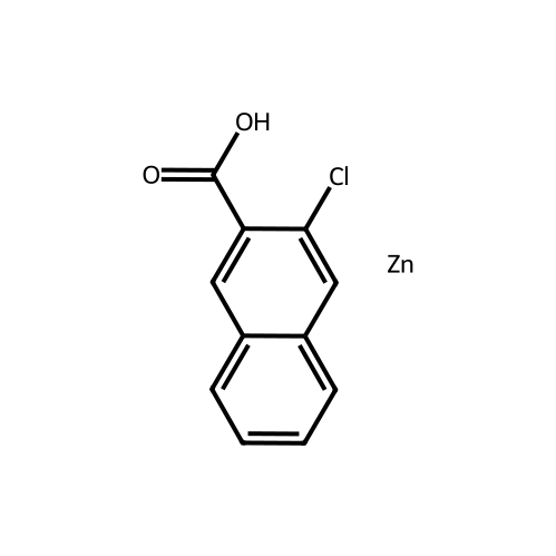 O=C(O)c1cc2ccccc2cc1Cl.[Zn]